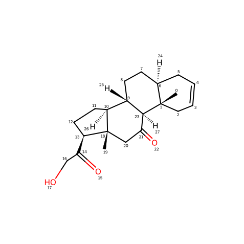 C[C@]12CC=CC[C@@H]1CC[C@H]1[C@@H]3CC[C@H](C(=O)CO)[C@@]3(C)CC(=O)[C@@H]12